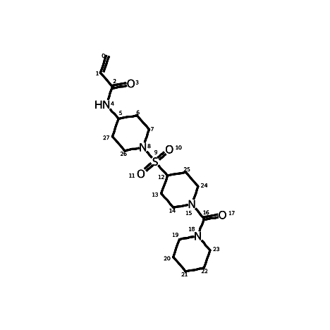 C=CC(=O)NC1CCN(S(=O)(=O)C2CCN(C(=O)N3CCCCC3)CC2)CC1